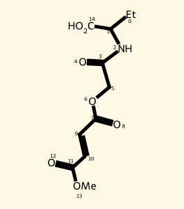 CCC(NC(=O)COC(=O)C=CC(=O)OC)C(=O)O